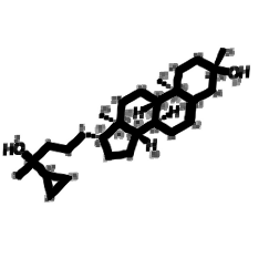 CC(O)(CCC[C@H]1CC[C@H]2[C@@H]3CC=C4C[C@@](C)(O)CC[C@]4(C)[C@H]3CC[C@]12C)C1CC1